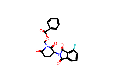 O=C(OCN1C(=O)CCC(N2C(=O)c3cccc(F)c3C2=O)C1=O)c1ccccc1